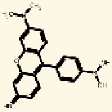 CN(C)c1ccc2c(-c3ccc(B(O)O)cc3)c3ccc(=N)cc-3oc2c1